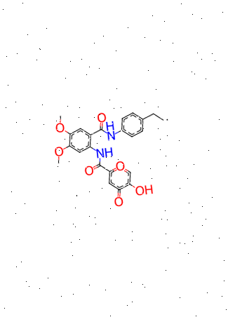 [CH2]Cc1ccc(NC(=O)c2cc(OC)c(OC)cc2NC(=O)c2cc(=O)c(O)co2)cc1